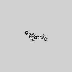 N#Cc1c(NC(=O)C=Cc2cccnc2)sc2c1CC[C@H](COC(=O)N1CCCCC1)C2